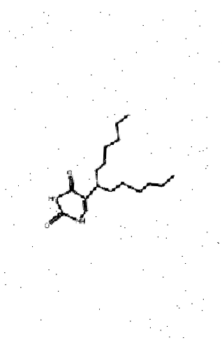 CCCCCCC(CCCCCC)c1c[nH]c(=O)[nH]c1=O